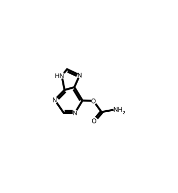 NC(=O)Oc1ncnc2[nH]cnc12